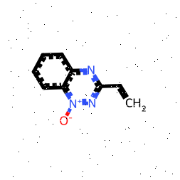 C=Cc1nc2ccccc2[n+]([O-])n1